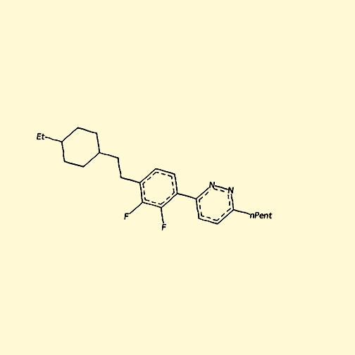 CCCCCc1ccc(-c2ccc(CCC3CCC(CC)CC3)c(F)c2F)nn1